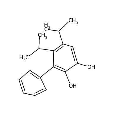 CC(C)c1cc(O)c(O)c(-c2ccccc2)c1C(C)C